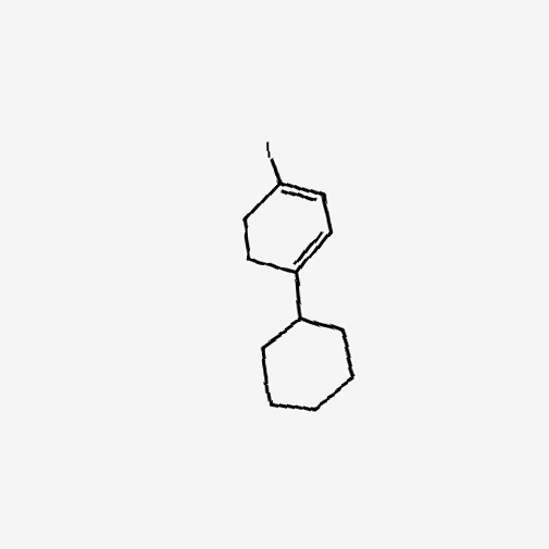 IC1=CC=C(C2CCCCC2)CC1